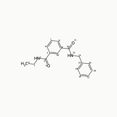 CCNC(=O)c1cccc(C(=O)NCc2ccccc2)c1